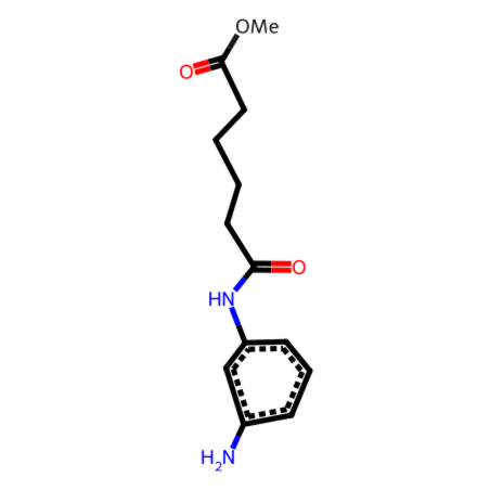 COC(=O)CCCCC(=O)Nc1cccc(N)c1